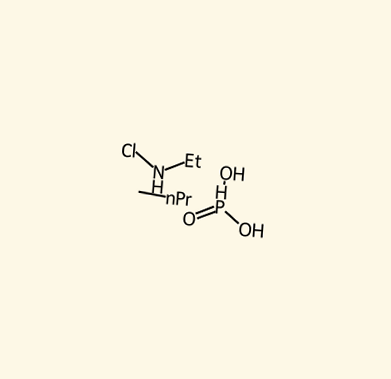 CCCC.CCNCl.O=[PH](O)O